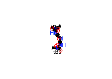 CC(C)(C)O[C@@H]1C[C@@H](C(=O)Nc2ccc(-c3cnc(-c4ccc(NC(=O)[C@@H]5C[C@@H](OC(C)(C)C)CN5C(=O)CC5CC5)cc4)o3)cc2)N(C(=O)CC2CC2)C1